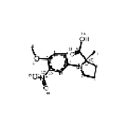 COc1ccc(N2CCC[C@@]2(C)C(=O)O)cc1[N+](=O)[O-]